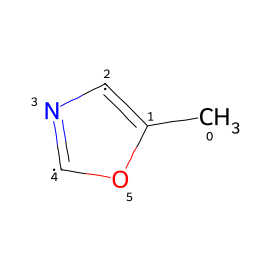 Cc1[c]n[c]o1